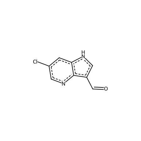 O=Cc1c[nH]c2cc(Cl)cnc12